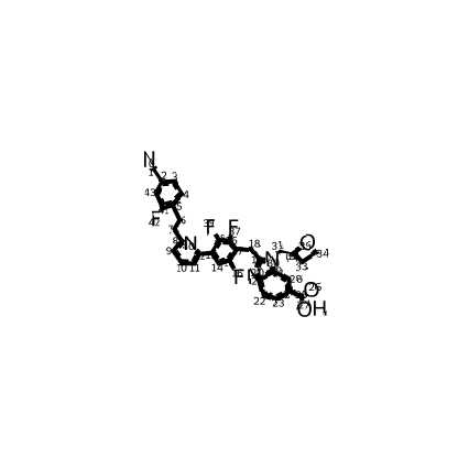 N#Cc1ccc(CCc2cccc(-c3cc(F)c(Cc4nc5ccc(C(=O)O)cc5n4C[C@@H]4CCO4)c(F)c3F)n2)c(F)c1